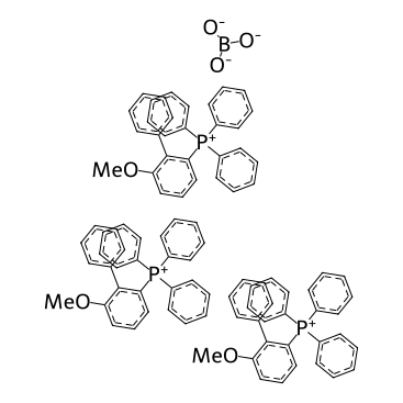 COc1cccc([P+](c2ccccc2)(c2ccccc2)c2ccccc2)c1-c1ccccc1.COc1cccc([P+](c2ccccc2)(c2ccccc2)c2ccccc2)c1-c1ccccc1.COc1cccc([P+](c2ccccc2)(c2ccccc2)c2ccccc2)c1-c1ccccc1.[O-]B([O-])[O-]